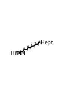 CCCCCCCCCCCCCCCCCNO